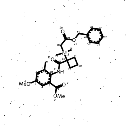 COC(=O)c1cc(OC)cc(C)c1NC(=O)C1([N+](C)(C)CC(=O)OCc2ccccc2)CCC1